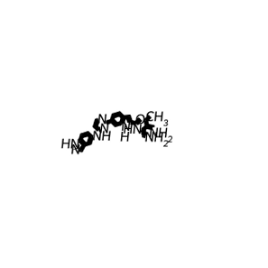 CCC(=C/N)/C(=C\N)NC(=O)c1cc2ccc(-c3nccc(Nc4ccc5[nH]ncc5c4)n3)cc2[nH]1